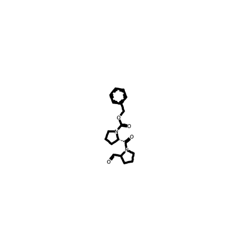 O=CC1CCCN1C(=O)[C@@H]1CCCN1C(=O)OCc1ccccc1